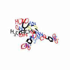 C[C@@H](O)[C@H]1C(=O)N2C(C(=O)O)=C(c3cn4cnc(SCCN(C(=O)OCc5ccc([N+](=O)[O-])cc5)C(N)=NC(=O)OCc5ccc([N+](=O)[O-])cc5)c4s3)[C@H](C)[C@H]12